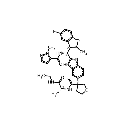 CCNC(=O)[C@@H](C)NC(=O)C1(c2ccc3nc([C@@H](NC(=O)c4ccnn4C)[C@H]4c5cc(F)ccc5OC4C)[nH]c3c2)CCOC1